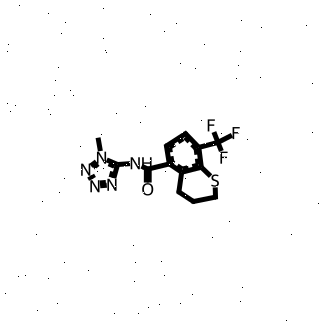 Cn1nnnc1NC(=O)c1ccc(C(F)(F)F)c2c1CCCS2